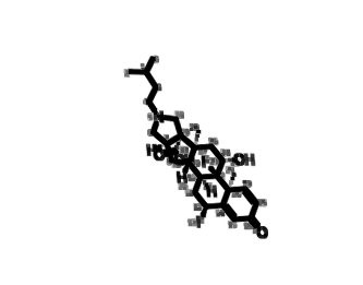 CC(C)CCN1C[C@@H]2C[C@H]3[C@@H]4C[C@H](F)C5=CC(=O)C=C[C@]5(C)[C@@]4(F)[C@@H](O)C[C@]3(C)[C@]2(C(=O)O)C1